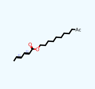 C/C=C/C=C/C(=O)OCCCCCCCCCC(C)=O